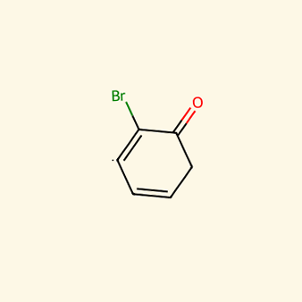 O=C1CC=C[C]=C1Br